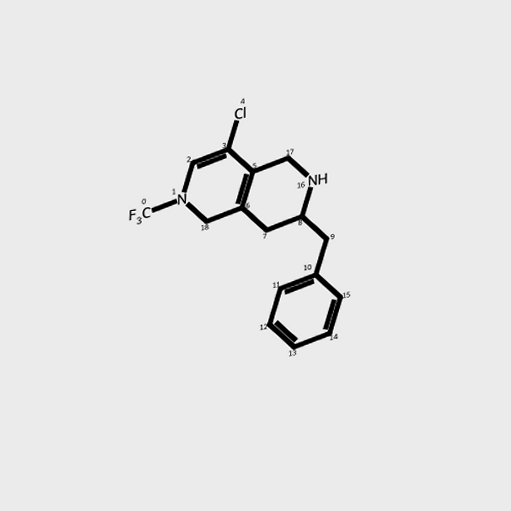 FC(F)(F)N1C=C(Cl)C2=C(CC(Cc3ccccc3)NC2)C1